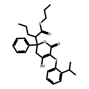 CCCOC(=O)C(CCC)C1(c2ccccc2)CC(O)=C(Sc2ccccc2C(C)C)C(=O)O1